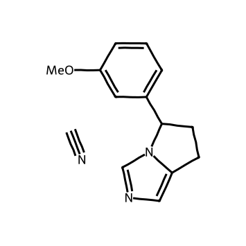 C#N.COc1cccc(C2CCc3cncn32)c1